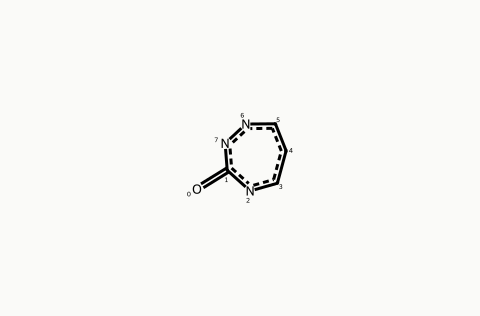 O=c1ncccnn1